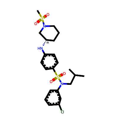 CC(C)CN(c1cccc(Cl)c1)S(=O)(=O)c1ccc(N[C@H]2CCCN(S(C)(=O)=O)C2)cc1